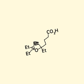 CCC(CC)(CCCC(=O)O)O[Si](CC)(CC)CC